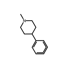 CN1CCC(C2=CC=C=C=C2)CC1